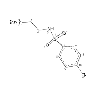 CCOC(=O)CCNS(=O)(=O)c1ccc(C#N)cc1